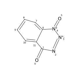 O=C1N=[N+][N+](=O)c2ccccc21